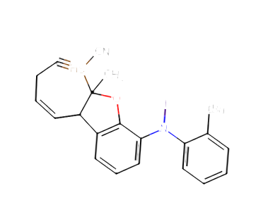 CC(C)(C)c1ccccc1N(I)c1cccc2c1OC1(C)C2C=CCC#[SH]1C#N